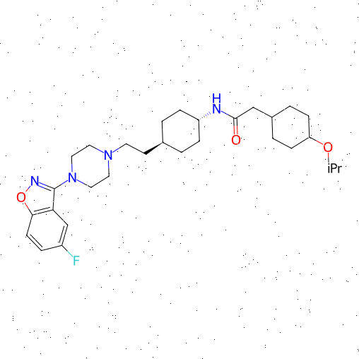 CC(C)OC1CCC(CC(=O)N[C@H]2CC[C@H](CCN3CCN(c4noc5ccc(F)cc45)CC3)CC2)CC1